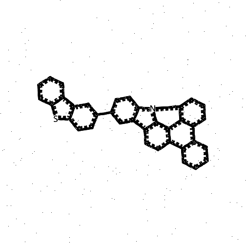 c1ccc2c(c1)sc1ccc(-c3ccc4c(c3)c3ccc5c6ccccc6c6cccc7c6c5c3n47)cc12